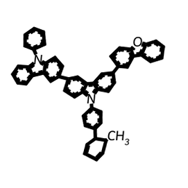 CC1C=CC=CC1c1ccc(-n2c3ccc(-c4ccc5oc6ccccc6c5c4)cc3c3cc(-c4ccc5c(c4)c4ccccc4n5-c4ccccc4)ccc32)cc1